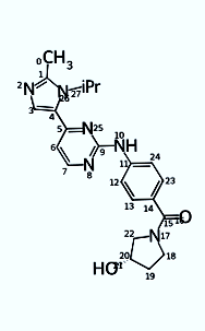 Cc1ncc(-c2ccnc(Nc3ccc(C(=O)N4CC[C@H](O)C4)cc3)n2)n1C(C)C